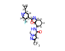 Cn1nc(C(F)(F)F)cc1C(=O)N[C@H]1CCCc2nc(-c3cc(C4CC4)ncc3F)oc21